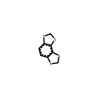 c1cc2c(c3c1SCS3)SCS2